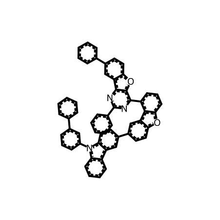 c1ccc(-c2cccc(-n3c4ccccc4c4cc(-c5ccc6oc7cccc(-c8nc(-c9ccccc9)nc9c8oc8ccc(-c%10ccccc%10)cc89)c7c6c5)ccc43)c2)cc1